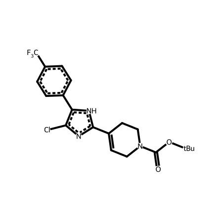 CC(C)(C)OC(=O)N1CC=C(c2nc(Cl)c(-c3ccc(C(F)(F)F)cc3)[nH]2)CC1